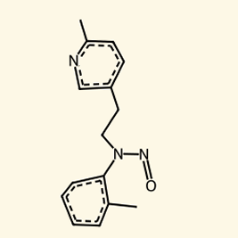 Cc1ccc(CCN(N=O)c2ccccc2C)cn1